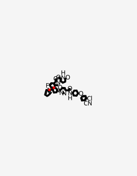 N#Cc1ccc(OC2CCC(NC(=O)c3ccc(N4CCC(CN5C6CCC5CN(c5cc7c(cc5F)C(=O)N(C5CCC(=O)NC5=O)C7=O)C6)CC4)nn3)CC2)cc1Cl